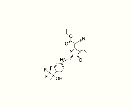 CCOC(=O)C(C#N)=c1sc(=CNc2ccc(C(C)(O)C(F)(F)F)cc2)c(=O)n1CC